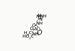 CC(NC(=O)O)C(=O)N1c2ccccc2CC1C(=O)NCc1nn[nH]n1